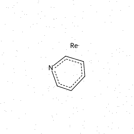 [Re].c1ccncc1